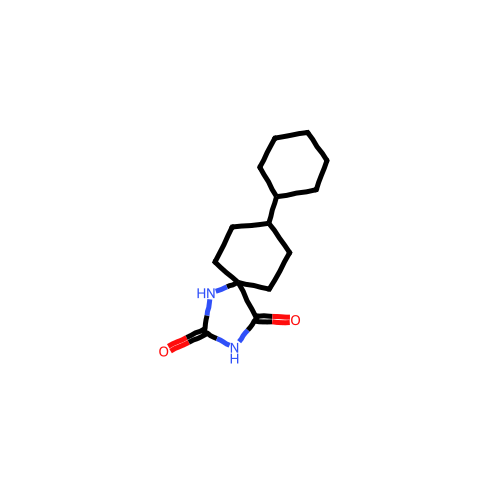 O=C1NC(=O)C2(CCC(C3CCCCC3)CC2)N1